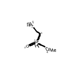 CCCC[PH](=O)OC